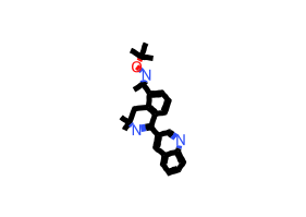 C/C(=N\OC(C)(C)C)c1cccc2c1CC(C)(C)N=C2c1cnc2ccccc2c1